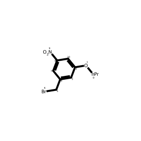 CCCOc1cc(CBr)cc([N+](=O)[O-])c1